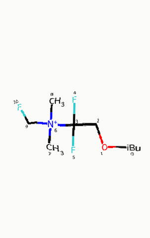 CCC(C)OCC(F)(F)[N+](C)(C)CF